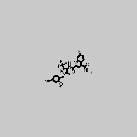 COc1cc(C#N)ccc1Cn1nc(C(F)(F)F)c(NC(=O)c2cc(C(N)=O)c3ccc(F)cc3n2)c1C